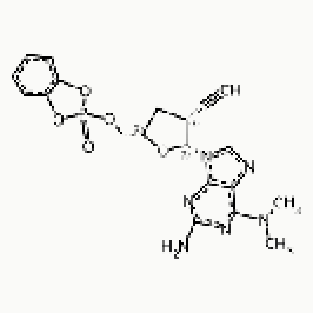 C#C[C@H]1C[C@@H](COP2(=O)Oc3ccccc3O2)O[C@H]1n1cnc2c(N(C)C)nc(N)nc21